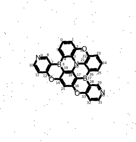 c1cc2c3c(c1)B1c4cnccc4Oc4cc5c6c(c41)N3c1c(cccc1B6c1cnccc1O5)O2